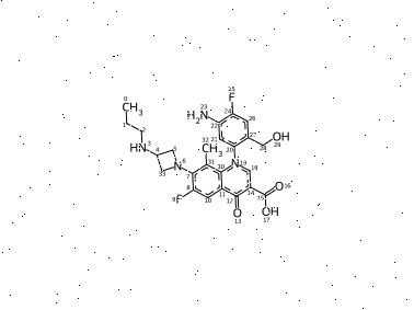 CCCNC1CN(c2c(F)cc3c(=O)c(C(=O)O)cn(-c4cc(N)c(F)cc4CO)c3c2C)C1